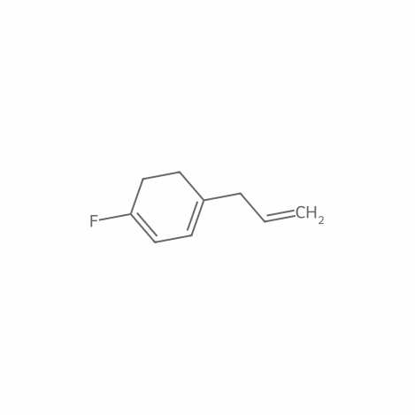 C=CCC1=CC=C(F)CC1